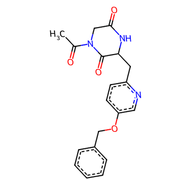 CC(=O)N1CC(=O)NC(Cc2ccc(OCc3ccccc3)cn2)C1=O